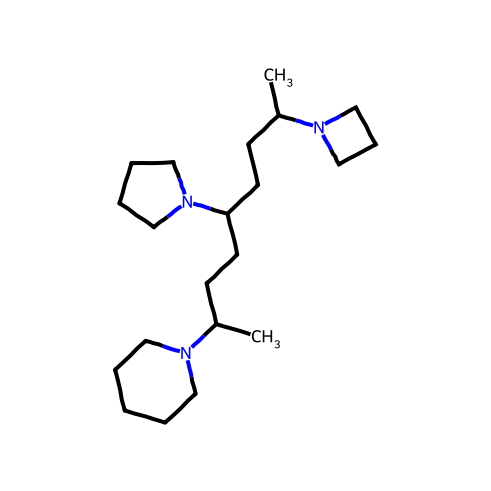 CC(CCC(CCC(C)N1CCC1)N1CCCC1)N1CCCCC1